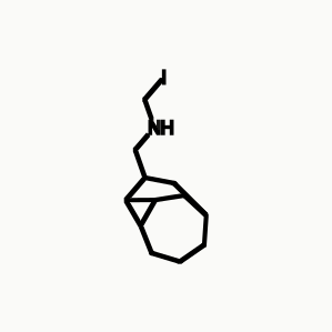 ICNCC1CC2CCCC3C(C2)C13